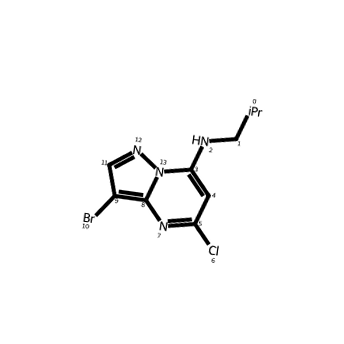 CC(C)CNc1cc(Cl)nc2c(Br)cnn12